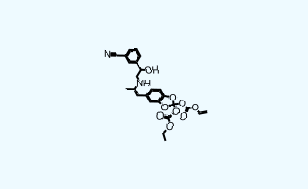 CCOC(=O)OC1(OC(=O)OCC)Oc2ccc(CC(C)NCC(O)c3cccc(C#N)c3)cc2O1